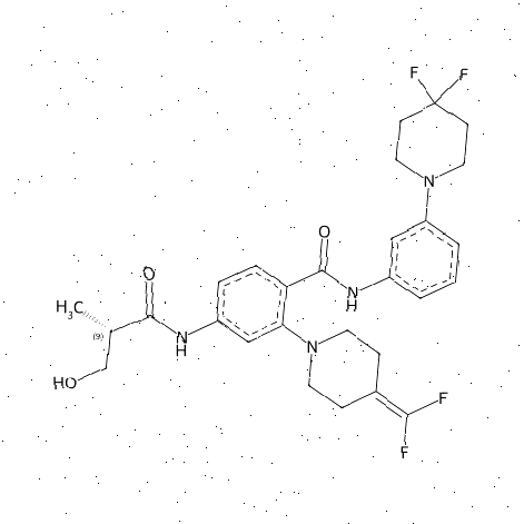 C[C@@H](CO)C(=O)Nc1ccc(C(=O)Nc2cccc(N3CCC(F)(F)CC3)c2)c(N2CCC(=C(F)F)CC2)c1